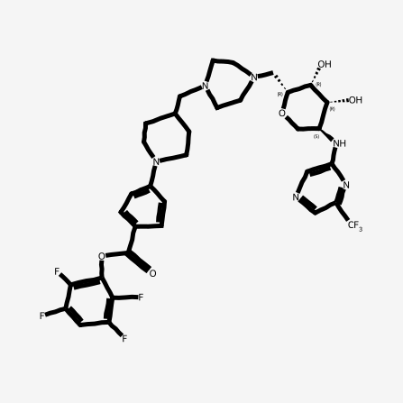 O=C(Oc1c(F)c(F)cc(F)c1F)c1ccc(N2CCC(CN3CCN(C[C@H]4OC[C@H](Nc5cncc(C(F)(F)F)n5)[C@@H](O)[C@H]4O)CC3)CC2)cc1